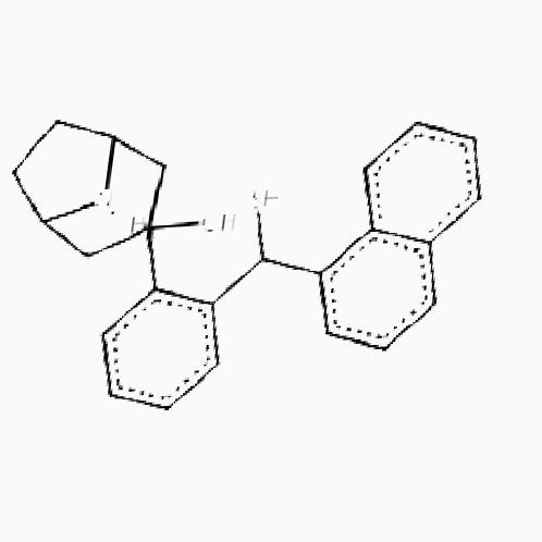 CN1C2CCC1CC(O)(c1ccccc1C(S)c1cccc3ccccc13)C2